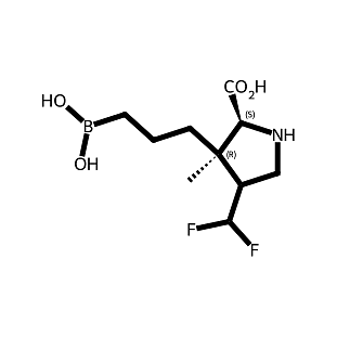 C[C@@]1(CCCB(O)O)C(C(F)F)CN[C@@H]1C(=O)O